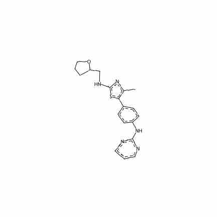 Cc1nc(NCC2CCCO2)sc1-c1ccc(Nc2ncccn2)cc1